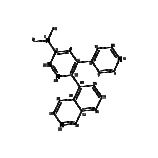 CN(C)c1cc(-c2ccncc2)c(-c2cccc3cnccc23)nn1